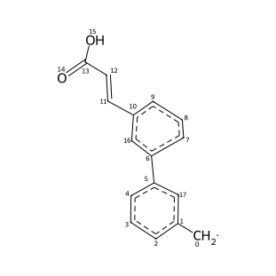 [CH2]c1cccc(-c2cccc(C=CC(=O)O)c2)c1